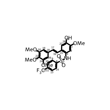 COc1cc(NS(=O)(=O)c2ccc(C(F)(F)F)cc2)c(C=Cc2cc(OC)c(OC)c(OC)c2)cc1O